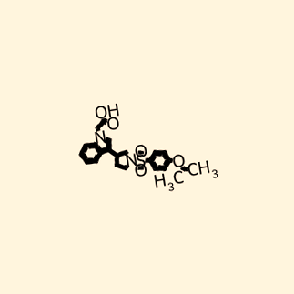 CC(C)Oc1ccc(S(=O)(=O)N2CCC(c3cn(CC(=O)O)c4ccccc34)C2)cc1